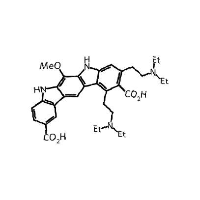 CCN(CC)CCc1cc2[nH]c3c(OC)c4[nH]c5ccc(C(=O)O)cc5c4cc3c2c(CCN(CC)CC)c1C(=O)O